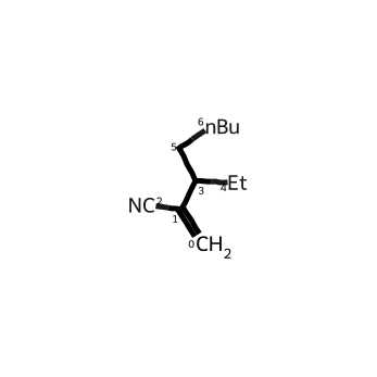 C=C(C#N)C(CC)CCCCC